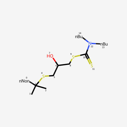 CCCCCCCCCC(C)(C)SCC(O)CSC(=S)N(CCCC)CCCC